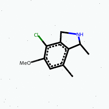 COc1cc(C)c2c(c1Cl)CNC2C